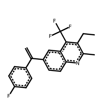 C=C(c1ccc(F)cc1)c1ccc2nc(C)c(CC)c(C(F)(F)F)c2c1